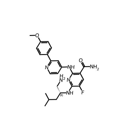 COc1ccc(-c2cc(Nc3nc(N[C@@H](CN)CC(C)C)c(F)cc3C(N)=O)ccn2)cc1